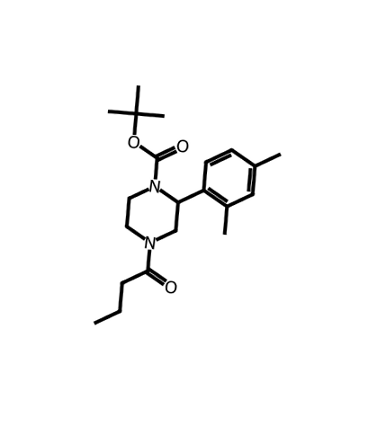 CCCC(=O)N1CCN(C(=O)OC(C)(C)C)C(c2ccc(C)cc2C)C1